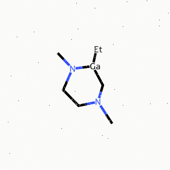 C[CH2][Ga]1[CH2]N(C)CC[N]1C